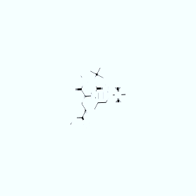 COC(=O)[C@@H](CCCOS(C)(=O)=O)C[C@H](NC(=O)OC(C)(C)C)C(=O)OC